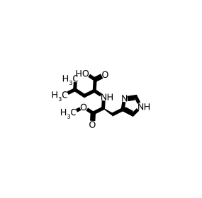 COC(=O)[C@H](Cc1c[nH]cn1)NC(CC(C)C)C(=O)O